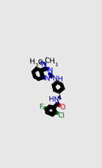 CN(C)c1nc(N[C@H]2CC[C@@H](CNC(=O)c3cc(F)ccc3Cl)CC2)nc2c1CCCC2